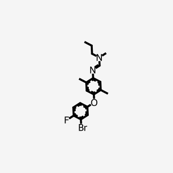 CCCN(C)C=Nc1cc(C)c(Oc2ccc(F)c(Br)c2)cc1C